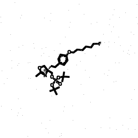 CC1=N[C@](CCc2ccc(OCCCCCCF)cc2)(COP(=O)(OC(C)(C)C)OC(C)(C)C)CO1